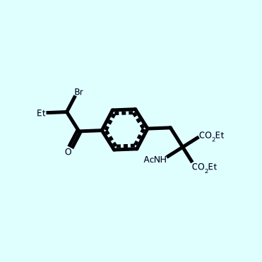 CCOC(=O)C(Cc1ccc(C(=O)C(Br)CC)cc1)(NC(C)=O)C(=O)OCC